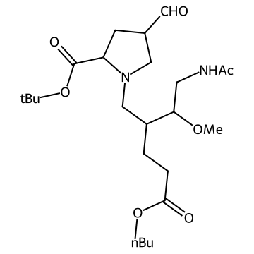 CCCCOC(=O)CCC(CN1CC(C=O)CC1C(=O)OC(C)(C)C)C(CNC(C)=O)OC